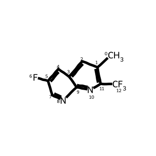 Cc1cc2cc(F)cnc2nc1C(F)(F)F